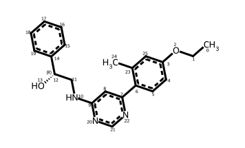 CCOc1ccc(-c2cc(NC[C@H](O)c3ccccc3)ncn2)c(C)c1